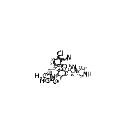 C[C@H]1CCc2c(ccc(-c3cnn(C4CCNCC4)c3)c2Oc2cccc(Cl)c2C#N)N1C(=O)O